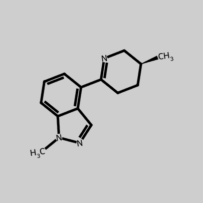 C[C@H]1CCC(c2cccc3c2cnn3C)=NC1